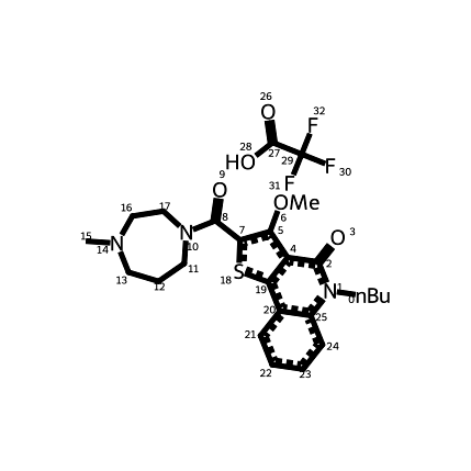 CCCCn1c(=O)c2c(OC)c(C(=O)N3CCCN(C)CC3)sc2c2ccccc21.O=C(O)C(F)(F)F